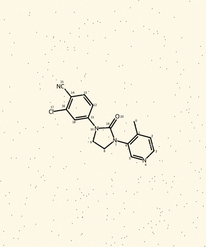 Cc1ccncc1N1CCN(c2ccc(C#N)c(Cl)c2)C1=O